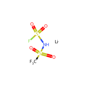 O=S(=O)(F)NS(=O)(=O)C(F)(F)F.[Li]